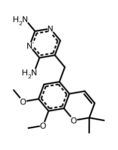 COc1cc(Cc2cnc(N)nc2N)c2c(c1OC)OC(C)(C)C=C2